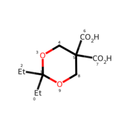 CCC1(CC)OCC(C(=O)O)(C(=O)O)CO1